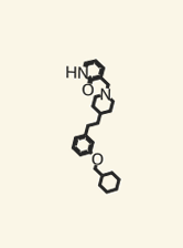 O=c1[nH]cccc1CN1CCC(CCc2cccc(OCC3CCCCC3)c2)CC1